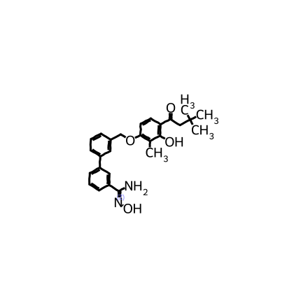 Cc1c(OCc2cccc(-c3cccc(/C(N)=N/O)c3)c2)ccc(C(=O)CC(C)(C)C)c1O